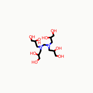 OCC(O)CN(CC(O)CO)CN(CC(O)CO)CC(O)CO